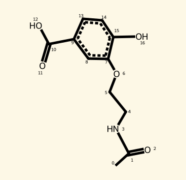 CC(=O)NCCOc1cc(C(=O)O)ccc1O